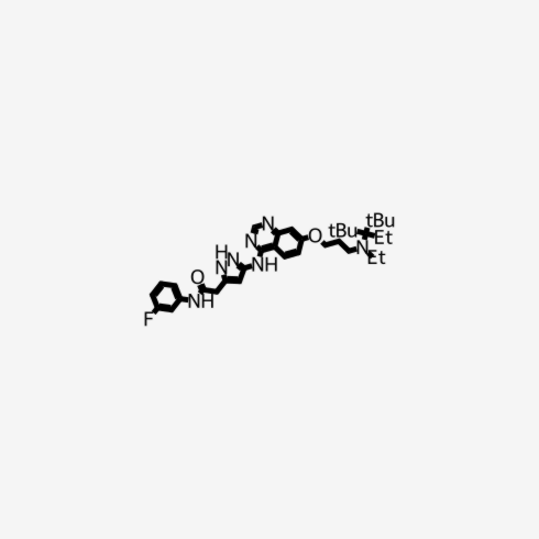 [CH2]CC(N(CC)CCCOc1ccc2c(Nc3cc(CC(=O)Nc4cccc(F)c4)[nH]n3)ncnc2c1)(C(C)(C)C)C(C)(C)C